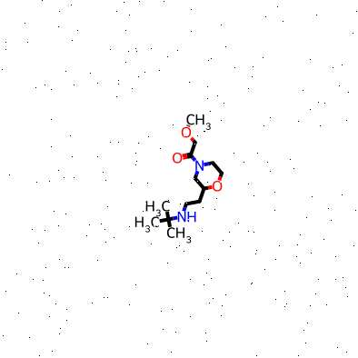 COCC(=O)N1CCOC(CCNC(C)(C)C)C1